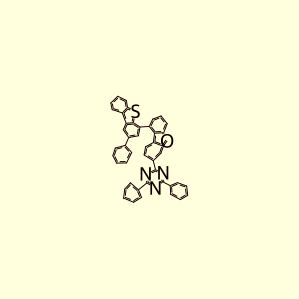 c1ccc(-c2cc(-c3cccc4oc5cc(-c6nc(-c7ccccc7)nc(-c7ccccc7)n6)ccc5c34)c3sc4ccccc4c3c2)cc1